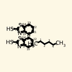 CCCCCC.Sc1nc2ccccc2s1.Sc1nc2ccccc2s1